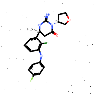 C[C@@]1(c2cccc(Nc3ccc(F)cc3)c2Cl)CC(=O)N([C@@H]2CCOC2)C(=N)N1